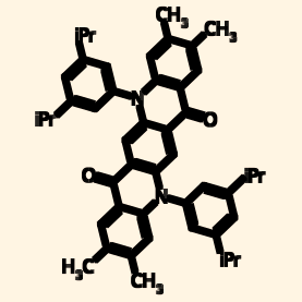 Cc1cc2c(=O)c3cc4c(cc3n(-c3cc(C(C)C)cc(C(C)C)c3)c2cc1C)c(=O)c1cc(C)c(C)cc1n4-c1cc(C(C)C)cc(C(C)C)c1